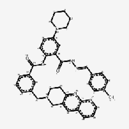 Cc1ccc(/C=N/NC(=O)c2cc(N3CCCCC3)ccc2NC(=O)c2cccc(CN3CCc4nc5ncccc5cc4C3)c2)cc1